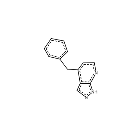 c1ccc(Cc2ccnc3[nH]ncc23)cc1